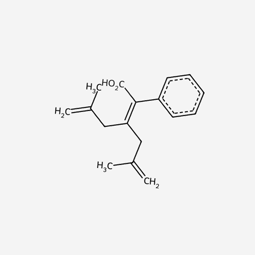 C=C(C)CC(CC(=C)C)=C(C(=O)O)c1ccccc1